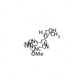 CO[C@H]1CCN(C(=O)N2C3CC2CN(c2ccc(-c4cc(OCC(C)(C)O)cn5ncc(C#N)c45)cn2)C3)C1